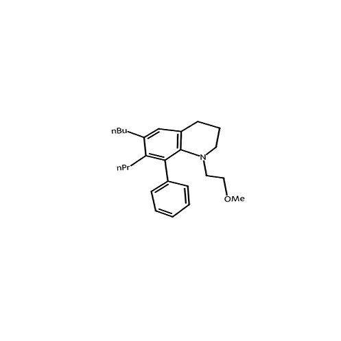 CCCCc1cc2c(c(-c3ccccc3)c1CCC)N(CCOC)CCC2